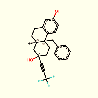 Oc1ccc2c(c1)CC[C@@H]1C[C@@](O)(C#CC(F)(F)F)CC[C@@]21Cc1ccccc1